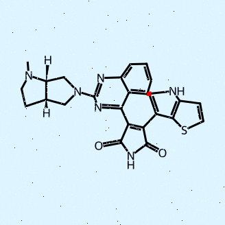 CN1CC[C@H]2CN(c3nc(C4=C(c5c[nH]c6ccsc56)C(=O)NC4=O)c4ccccc4n3)C[C@H]21